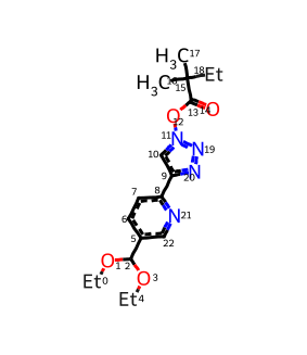 CCOC(OCC)c1ccc(-c2cn(OC(=O)C(C)(C)CC)nn2)nc1